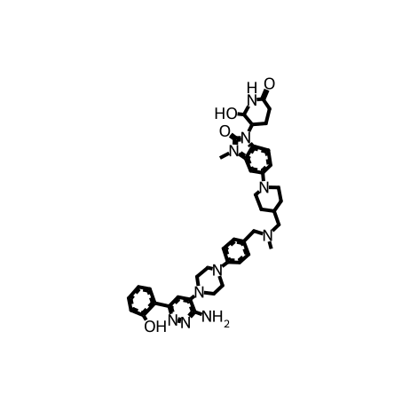 CN(Cc1ccc(N2CCN(c3cc(-c4ccccc4O)nnc3N)CC2)cc1)CC1CCN(c2ccc3c(c2)n(C)c(=O)n3C2CCC(=O)NC2O)CC1